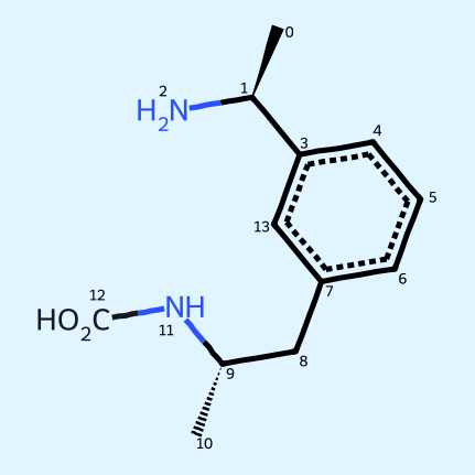 C[C@H](N)c1cccc(C[C@H](C)NC(=O)O)c1